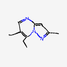 Cc1cc2ncc(C)c(C)n2n1